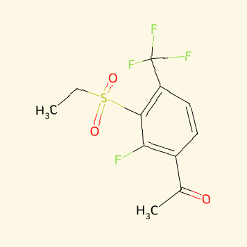 CCS(=O)(=O)c1c(C(F)(F)F)ccc(C(C)=O)c1F